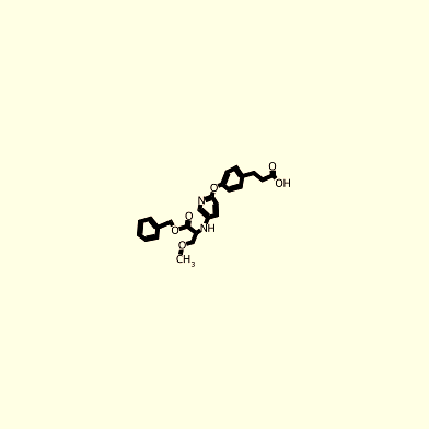 COCC(Nc1ccc(Oc2ccc(CCC(=O)O)cc2)nc1)C(=O)OCc1ccccc1